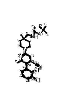 Cc1nc(N2CCC(C)(CNC(=O)OC(C)(C)C)CC2)cc(C#N)c1-c1cccc(Cl)c1Cl